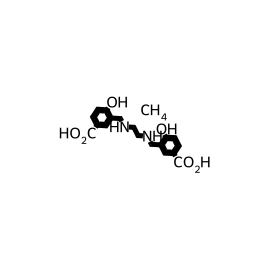 C.O=C(O)c1ccc(O)c(CNCCNCc2cc(C(=O)O)ccc2O)c1